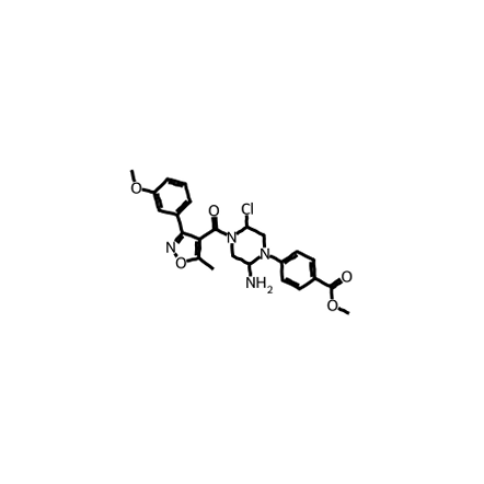 COC(=O)c1ccc(N2CC(Cl)N(C(=O)c3c(-c4cccc(OC)c4)noc3C)CC2N)cc1